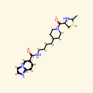 CC1NC(C(=O)N2CCC(CCCCNC(=O)c3ccc4nccn4c3)CC2)CS1